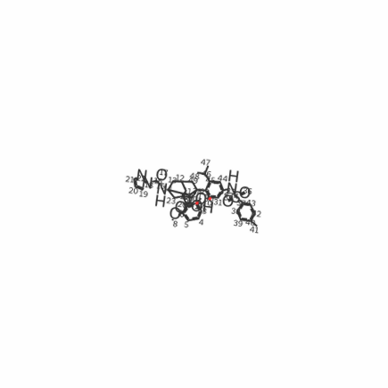 COc1cccc(OC)c1C12CC3CC(NC(=O)n4cccn4)(C1)C(C(=O)O)C(c1ccc(NS(=O)(=O)c4ccc(C)cc4)cc1C(C)C)(C3)C2